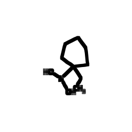 CCC1(N(O)O)CCCCC1